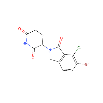 O=C1CCC(N2Cc3ccc(Br)c(Cl)c3C2=O)C(=O)N1